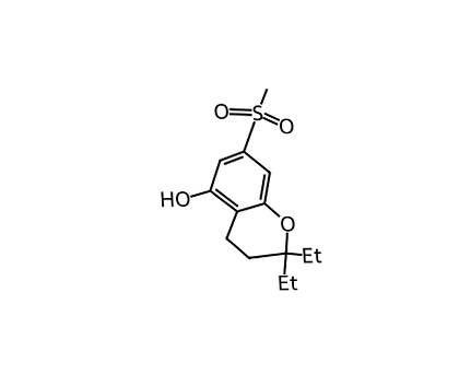 CCC1(CC)CCc2c(O)cc(S(C)(=O)=O)cc2O1